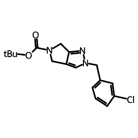 CC(C)(C)OC(=O)N1Cc2cn(Cc3cccc(Cl)c3)nc2C1